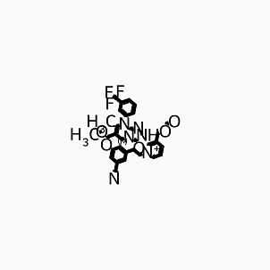 COC(=O)C1=C(C)N(c2cccc(C(F)(F)F)c2)c2n[nH]c(=O)n2[C@@H]1c1ccc(C#N)cc1CC[n+]1cccc(COC=O)c1